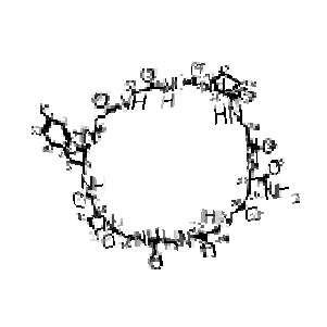 Cc1ccc(CC2NC(=O)C3CCN3C(=O)CNC(=O)CNC(=O)CNC(=O)CC(C(N)=O)NC(=O)CNC(=O)C3(CCCC3)NC(=O)CNC(=O)CNC(=O)CNC2=O)cc1